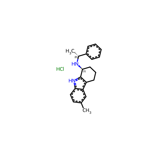 Cc1ccc2[nH]c3c(c2c1)CCC[C@@H]3N[C@H](C)c1ccccc1.Cl